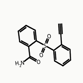 C#Cc1ccccc1S(=O)(=O)c1ccccc1C(N)=O